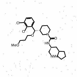 CNC[C@H](CC1CCCC1)NC(=O)N1CCC[C@@H](C(OCCCOC)c2cccc(Cl)c2Cl)C1